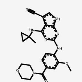 COc1cc(C(=O)N2CCOCC2)ccc1Nc1nc(NC2(C)CC2)c2c(C#N)c[nH]c2n1